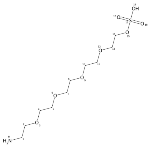 NCCOCCOCCOCCOCCOS(=O)(=O)O